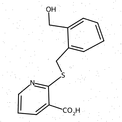 O=C(O)c1cccnc1SCc1ccccc1CO